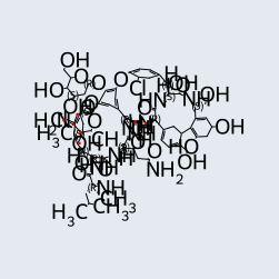 CN[C@H](CC(C)C)C(=O)N[C@H]1C(=O)N[C@@H](CCC(N)=O)C(=O)N[C@H]2C(=N)N[C@H]3C(=O)N[C@H](C(=O)N[C@H](CO)C4=CC(O)CC(O)=C4C4CC3=CC=C4CO)[C@H](O)C3=CC=C(Oc4cc2cc(c4O[C@H]2OC(CO)C(O)[C@H](O)C2O[C@H]2CC(C)(N)[C@H](O)C(C)O2)OC2=C(Cl)C=C(CC2)[C@H]1O)C(Cl)C3